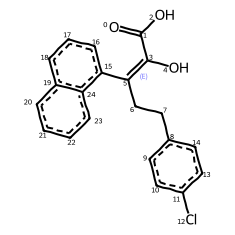 O=C(O)/C(O)=C(/CCc1ccc(Cl)cc1)c1cccc2ccccc12